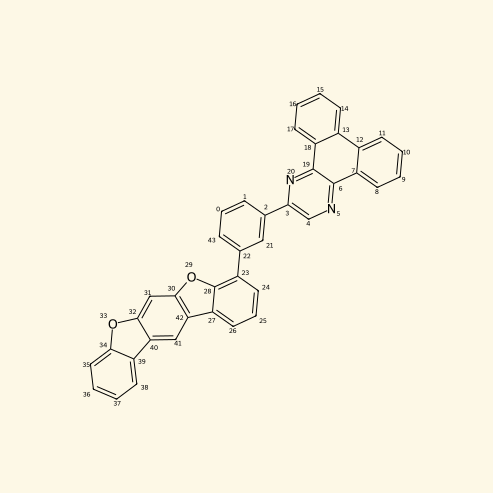 c1cc(-c2cnc3c4ccccc4c4ccccc4c3n2)cc(-c2cccc3c2oc2cc4oc5ccccc5c4cc23)c1